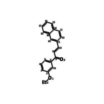 CCOc1cccc(C(=O)C=Cc2ccc3ccccc3c2)c1